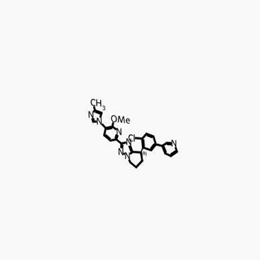 COc1nc(-c2nc3n(n2)CCC[C@@H]3c2cc(-c3cccnc3)ccc2Cl)ccc1-n1cnc(C)c1